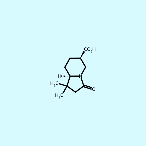 CC1(C)CC(=O)N2C[C@H](C(=O)O)CC[C@@H]21